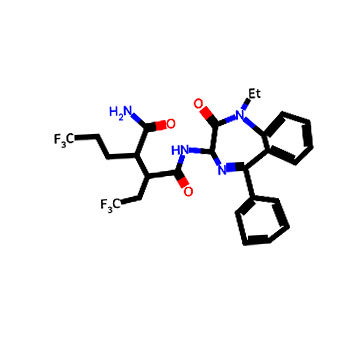 CCN1C(=O)C(NC(=O)C(CC(F)(F)F)C(CCC(F)(F)F)C(N)=O)N=C(c2ccccc2)c2ccccc21